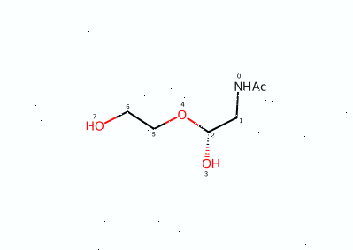 CC(=O)NC[C@H](O)OCCO